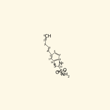 C#CCC=Cc1ccc2nc(S(N)(=O)=O)sc2c1